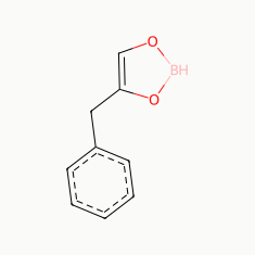 B1OC=C(Cc2ccccc2)O1